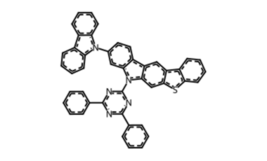 c1ccc(-c2nc(-c3ccccc3)nc(-n3c4cc(-n5c6ccccc6c6ccccc65)ccc4c4cc5c(cc43)sc3ccccc35)n2)cc1